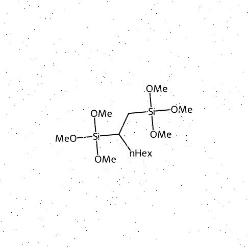 CCCCCCC(C[Si](OC)(OC)OC)[Si](OC)(OC)OC